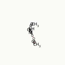 CCOC(=O)C[C@H]1CC[C@H](C2=CC=C(c3cn4cc(C(=O)NCc5ccc(OC)cc5)nc4s3)CC2)CC1